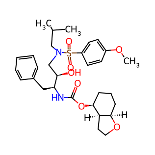 COc1ccc(S(=O)(=O)N(CC(C)C)C[C@@H](O)[C@H](Cc2ccccc2)NC(=O)O[C@H]2CCC[C@H]3OCC[C@@H]23)cc1